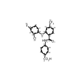 O=C(O)c1ccc(NC(=O)c2ccc(C(F)(F)F)cc2Oc2ccc(F)cc2Cl)cc1